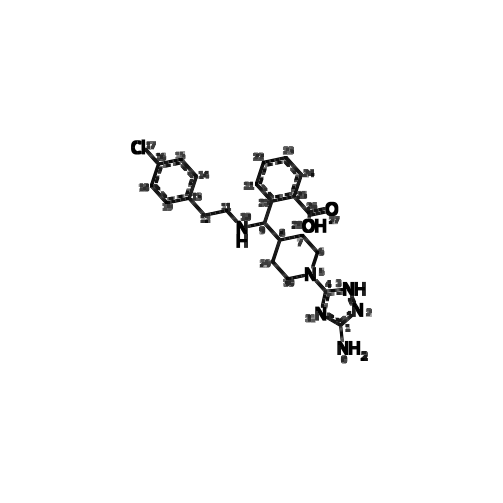 Nc1n[nH]c(N2CCC(C(NCCc3ccc(Cl)cc3)c3ccccc3C(=O)O)CC2)n1